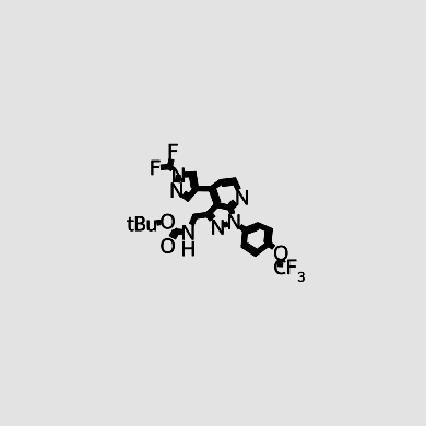 CC(C)(C)OC(=O)NCc1nn(-c2ccc(OC(F)(F)F)cc2)c2nccc(-c3cnn(C(F)F)c3)c12